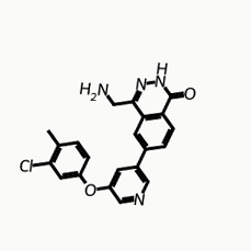 Cc1ccc(Oc2cncc(-c3ccc4c(=O)[nH]nc(CN)c4c3)c2)cc1Cl